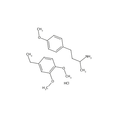 CCc1ccc(OC)c(OC)c1.COc1ccc(CCC(C)N)cc1.Cl